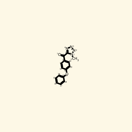 Cn1nnnc1C(=O)c1ccc(Oc2ccccc2)cc1